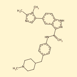 C=C(Nc1ccc(CC2CCN(C)CC2)cc1)c1n[nH]c2ccc(-c3cnc(C)n3C)cc12